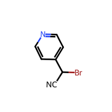 N#CC(Br)c1ccncc1